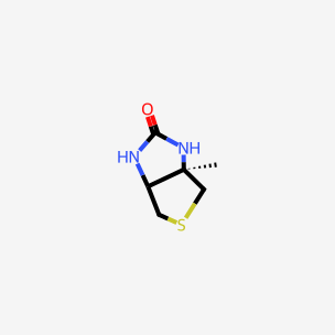 C[C@]12CSCC1NC(=O)N2